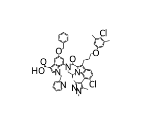 Cc1cc(OCCCc2c3n(c4c(-c5c(C)nn(C)c5C)c(Cl)ccc24)C(C)CN(c2cc(OCc4ccccc4)cc4c(C(=O)O)cn(Cc5ccccn5)c24)C3=O)cc(C)c1Cl